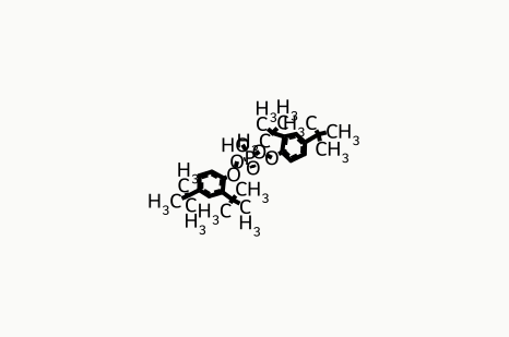 CC(C)(C)c1ccc(OOP(=O)(O)OOc2ccc(C(C)(C)C)cc2C(C)(C)C)c(C(C)(C)C)c1